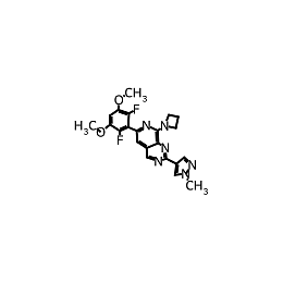 COc1cc(OC)c(F)c(-c2cc3cnc(-c4cnn(C)c4)nc3c(N3CCC3)n2)c1F